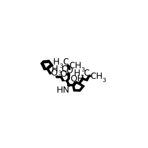 CC(C)CCC1CCCC(C(=N)[C@@H](CCCOCc2ccccc2)CC(=O)OC(C)(C)C)=C1O